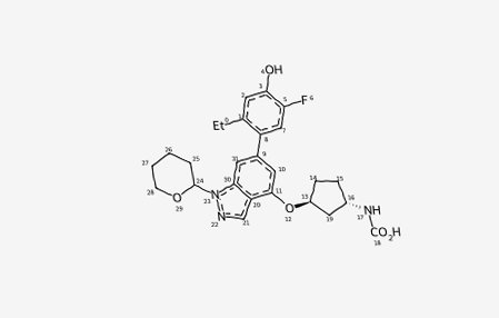 CCc1cc(O)c(F)cc1-c1cc(O[C@H]2CC[C@H](NC(=O)O)C2)c2cnn(C3CCCCO3)c2c1